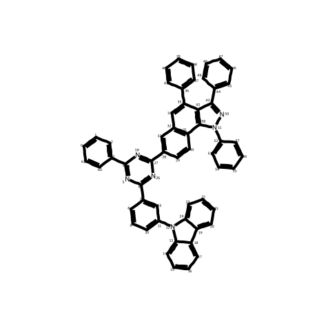 c1ccc(-c2nc(-c3cccc(-n4c5ccccc5c5ccccc54)c3)nc(-c3ccc4c(c3)cc(-c3ccccc3)c3c(-c5ccccc5)nn(-c5ccccc5)c34)n2)cc1